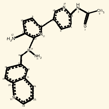 CC(=O)Nc1ccc(-c2ccc(N)c(N(N)Cc3ccc4ncccc4c3)n2)cn1